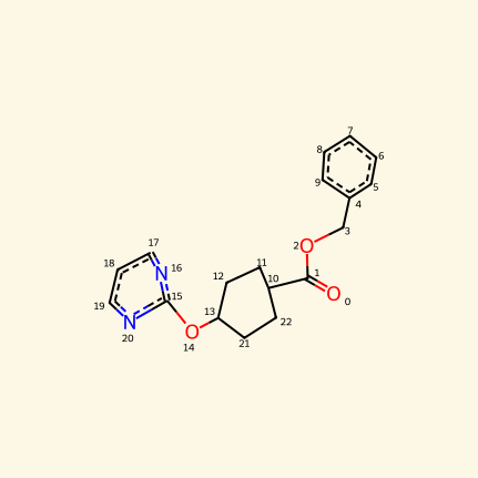 O=C(OCc1ccccc1)C1CCC(Oc2ncccn2)CC1